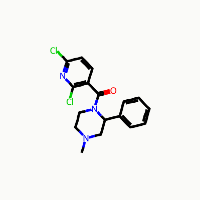 CN1CCN(C(=O)c2ccc(Cl)nc2Cl)C(c2ccccc2)C1